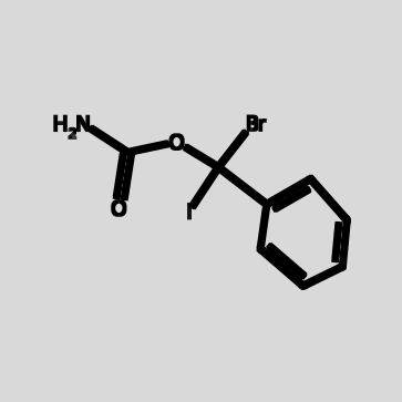 NC(=O)OC(Br)(I)c1ccccc1